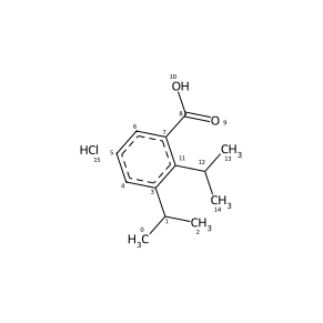 CC(C)c1cccc(C(=O)O)c1C(C)C.Cl